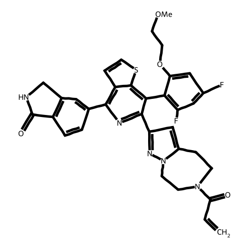 C=CC(=O)N1CCc2cc(-c3nc(-c4ccc5c(c4)CNC5=O)c4ccsc4c3-c3c(F)cc(F)cc3OCCOC)nn2CC1